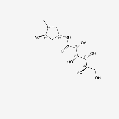 CC(=O)[C@@H]1C[C@@H](NC(=O)[C@H](O)[C@@H](O)[C@H](O)[C@H](O)CO)CN1C